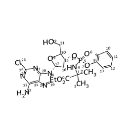 CCOC(=O)C(C)(C)NP(=O)(Oc1ccccc1)O[C@@H]1C[C@H](n2cnc3c(N)nc(Cl)nc32)OC1CO